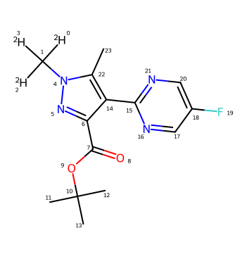 [2H]C([2H])([2H])n1nc(C(=O)OC(C)(C)C)c(-c2ncc(F)cn2)c1C